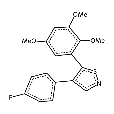 COc1cc(OC)c(OC)c(-c2sncc2-c2ccc(F)cc2)c1